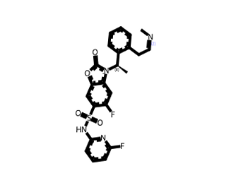 C/N=C\Cc1ccccc1[C@@H](C)n1c(=O)oc2cc(S(=O)(=O)Nc3cccc(F)n3)c(F)cc21